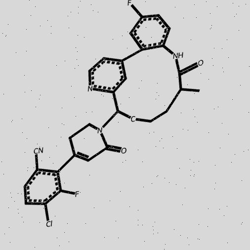 CC1CCCC(N2CCC(c3c(C#N)ccc(Cl)c3F)=CC2=O)c2cc(ccn2)-c2cc(F)ccc2NC1=O